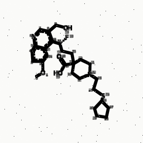 COc1ccc2ncc(CO)c([C@H](F)CCC3(C(=O)O)CCN(CCSC4CCCC4)CC3)c2c1